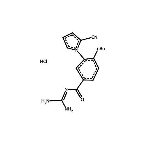 CCCCc1ccc(C(=O)N=C(N)N)cc1-n1cccc1C#N.Cl